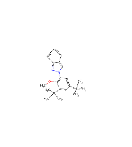 COc1c(-n2cc3ccccc3n2)cc(C(C)(C)C)cc1C(C)(C)C